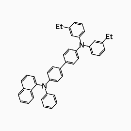 CCc1cccc(N(c2ccc(-c3ccc(N(c4ccccc4)c4cccc5ccccc45)cc3)cc2)c2cccc(CC)c2)c1